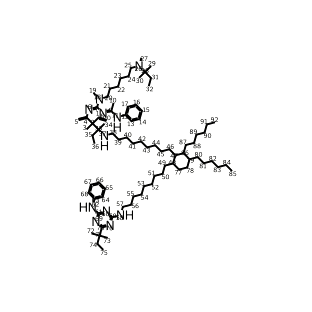 C=CC(C)(C(=C)/N=C(\N=C(/C)Nc1ccccc1)N(C)CCCCCCN(C)C(C)(C)CC)C(C)(CC)NCCCCCCCCCC1C(CCCCCCCCCNc2nc(Nc3ccccc3)nc(C(C)(C)CC)n2)CCC(CCCCCC)C1CCCCCC